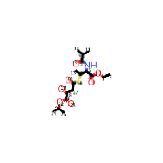 CCOC(=O)C(NC(=O)C(C)C)C(C)SC(=O)CC(=O)C(=O)OC(C)C